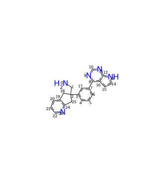 NCC1(c2cccc(-c3ncnc4[nH]ccc34)c2)Cc2cccnc2C1